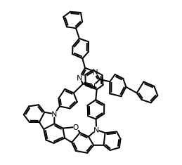 c1ccc(-c2ccc(-c3nc(-c4ccc(-c5ccccc5)cc4)nc(-c4ccc(-n5c6ccccc6c6ccc7c8ccc9c%10ccccc%10n(-c%10ccc(-c%11ccccc%11)cc%10)c9c8oc7c65)cc4)n3)cc2)cc1